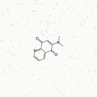 CN(C)C1=CC(=O)c2ncccc2C1=O